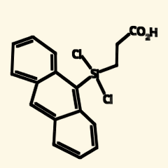 O=C(O)CC[Si](Cl)(Cl)c1c2ccccc2cc2ccccc12